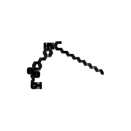 CCCCCCCCCCCCCCCCCC(CC)Nc1ccc(C=Cc2ccc(S(=O)(=O)CCCO)cc2)cc1